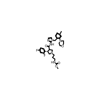 COC(=O)NCCCN1CC(C(=O)Nc2nccn2Cc2ccc(C)cc2N2CCOCC2)[C@H](c2ccc(F)cc2F)C1